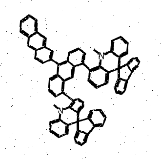 CN1c2ccccc2C2(c3ccccc3-c3ccccc32)c2cccc(-c3cccc4c(-c5ccc6cc7ccccc7cc6c5)c5cccc(-c6cccc7c6N(C)c6ccccc6C76c7ccccc7-c7ccccc76)c5cc34)c21